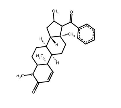 CC1C[C@H]2[C@@H]3CCC4N(C)C(=O)C=C[C@]4(C)[C@@H]3CC[C@]2(C)C1C(=O)c1ccccc1